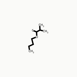 CCCCOC([S])C(C)C